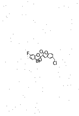 O=C(Oc1cc(F)ccc1Br)c1cc2cc(CCl)ccc2oc1=O